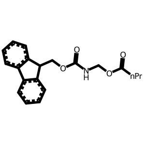 CCCC(=O)OCNC(=O)OCC1c2ccccc2-c2ccccc21